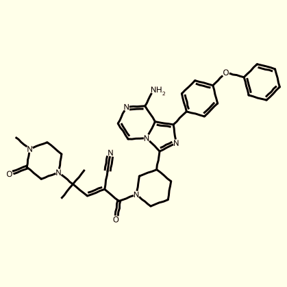 CN1CCN(C(C)(C)C=C(C#N)C(=O)N2CCCC(c3nc(-c4ccc(Oc5ccccc5)cc4)c4c(N)nccn34)C2)CC1=O